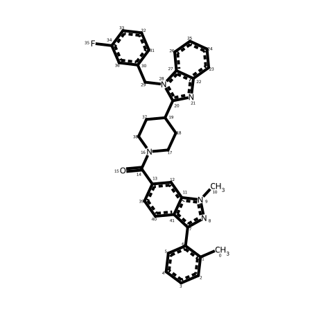 Cc1ccccc1-c1nn(C)c2cc(C(=O)N3CCC(c4nc5ccccc5n4Cc4cccc(F)c4)CC3)ccc12